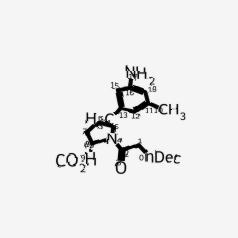 CCCCCCCCCCCC(=O)N1CCC[C@H]1C(=O)O.Cc1cc(C)cc(N)c1